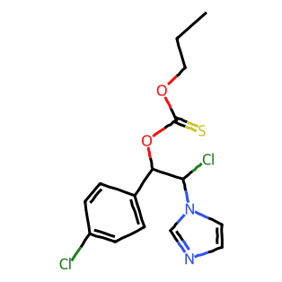 CCCOC(=S)OC(c1ccc(Cl)cc1)C(Cl)n1ccnc1